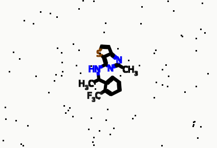 Cc1nc(NC(C)c2ccccc2C(F)(F)F)c2sccc2n1